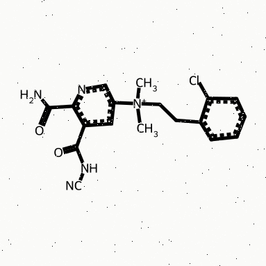 C[N+](C)(CCc1ccccc1Cl)c1cnc(C(N)=O)c(C(=O)NC#N)c1